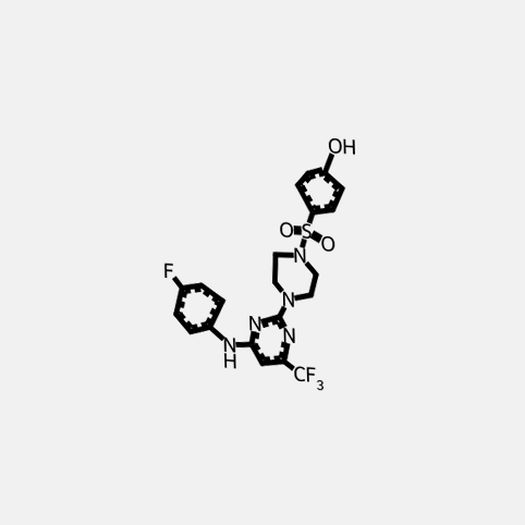 O=S(=O)(c1ccc(O)cc1)N1CCN(c2nc(Nc3ccc(F)cc3)cc(C(F)(F)F)n2)CC1